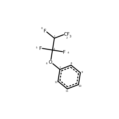 FC(C(F)(F)F)C(F)(F)Oc1ccccc1